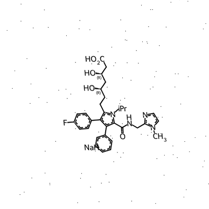 CC(C)n1c(CC[C@@H](O)C[C@@H](O)CC(=O)O)c(-c2ccc(F)cc2)c(-c2ccccc2)c1C(=O)NCc1nccn1C.[NaH]